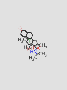 CC(C)NC(=O)[C@@]1(O)[C@H](C)CC2C3CCC4=CC(=O)C=C[C@]4(C)[C@@]3(F)CC[C@@]21C